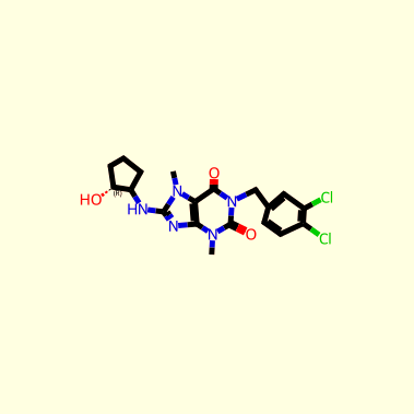 Cn1c(NC2CCC[C@H]2O)nc2c1c(=O)n(Cc1ccc(Cl)c(Cl)c1)c(=O)n2C